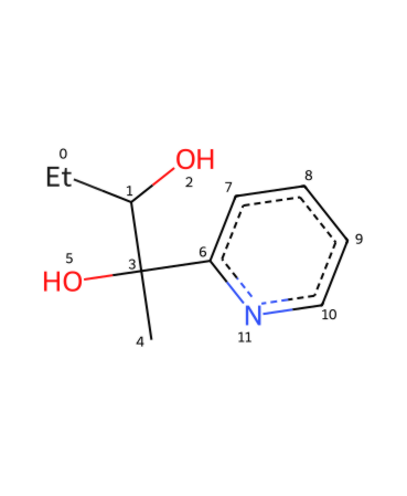 CCC(O)C(C)(O)c1ccccn1